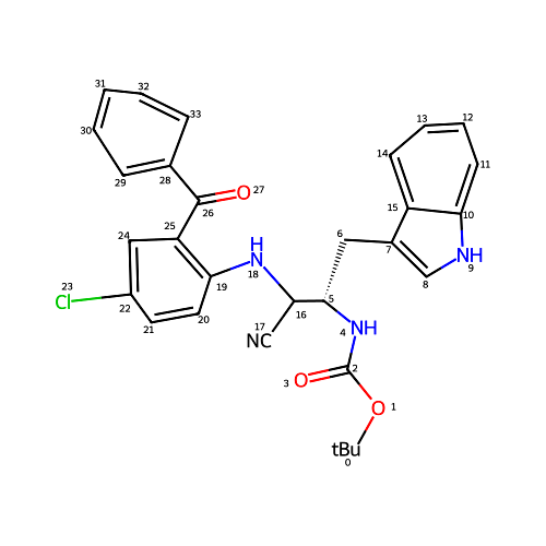 CC(C)(C)OC(=O)N[C@@H](Cc1c[nH]c2ccccc12)C(C#N)Nc1ccc(Cl)cc1C(=O)c1ccccc1